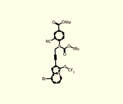 COC(=O)c1ccc(N(CC#Cc2cc3c(Br)cccn3c2SC(F)(F)F)C(=O)OC(C)(C)C)c(C#N)c1